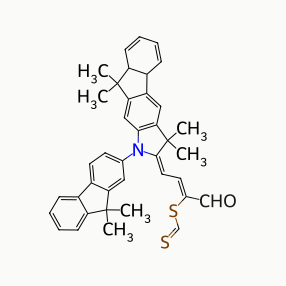 CC1(C)/C(=C\C=C(\C=O)SC=S)N(c2ccc3c(c2)C(C)(C)c2ccccc2-3)c2cc3c(cc21)C1C=CC=CC1C3(C)C